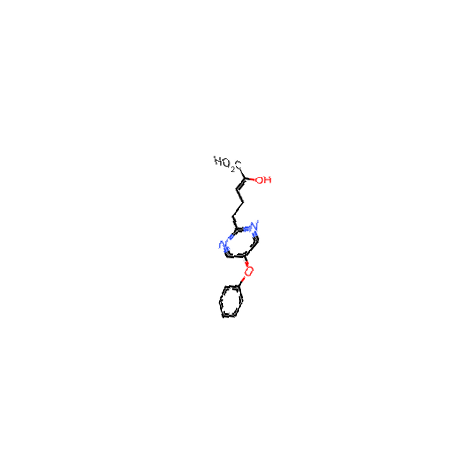 O=C(O)C(O)=CCCc1ncc(Oc2ccccc2)cn1